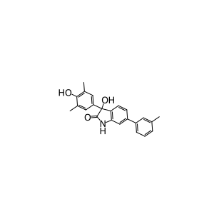 Cc1cccc(-c2ccc3c(c2)NC(=O)C3(O)c2cc(C)c(O)c(C)c2)c1